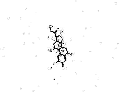 C[C@]12C=C(Br)C(=O)C=C1[C@H](F)C[C@H]1[C@@H]3C[C@@H](O)[C@](O)(C(=O)CO)[C@@]3(C)C[C@H](O)[C@@]12F